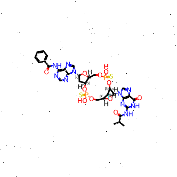 CC(C)C(=O)Nc1nc2c(ncn2[C@@H]2O[C@@H]3COP(O)(=S)O[C@H]4C[C@H](n5cnc6c(NC(=O)c7ccccc7)ncnc65)O[C@@H]4COP(O)(=S)O[C@@H]2[C@@H]3F)c(=O)[nH]1